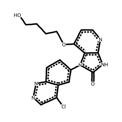 O=c1[nH]c2nccc(OCCCCO)c2n1-c1ccc2nncc(Cl)c2c1